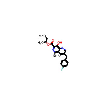 COCC(C)OC(=O)c1nc(NC(C)=O)c2cc(Cc3ccc(F)cc3)cnc2c1O